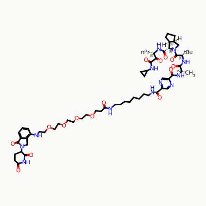 CCC[C@H](NC(=O)[C@@H]1[C@H]2CCC[C@H]2CN1C(=O)[C@@H](NC(=O)[C@H](C)NC(=O)c1cnc(C(=O)NCCCCCCCCNC(=O)CCOCCOCCOCCOCCNc2cccc3c2CN(C2CCC(=O)NC2=O)C3=O)cn1)C(C)(C)C)C(=O)C(=O)NC1CC1